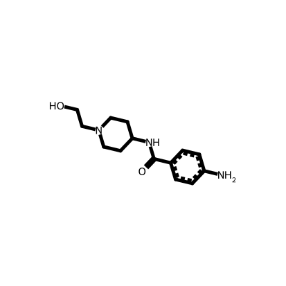 Nc1ccc(C(=O)NC2CCN(CCO)CC2)cc1